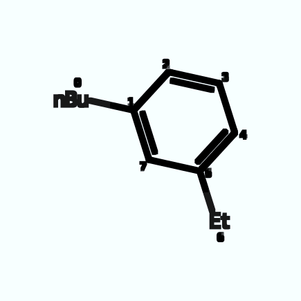 CCCCc1cccc(CC)c1